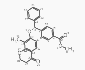 COC(=O)c1ccc([C@H](Oc2ccc3c(c2C)OCCC3=O)c2ccccc2)cc1